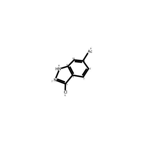 CC(=O)c1ccc2c(Cl)n[nH]c2c1